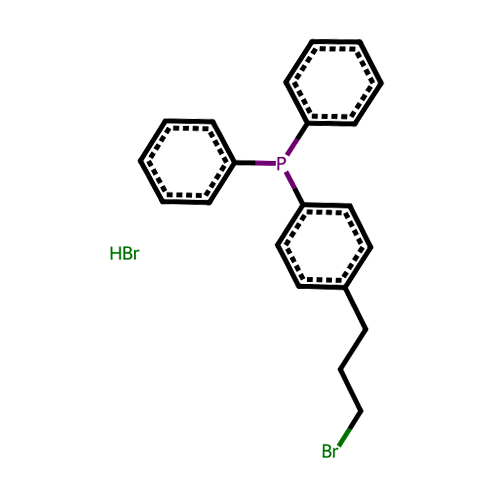 Br.BrCCCc1ccc(P(c2ccccc2)c2ccccc2)cc1